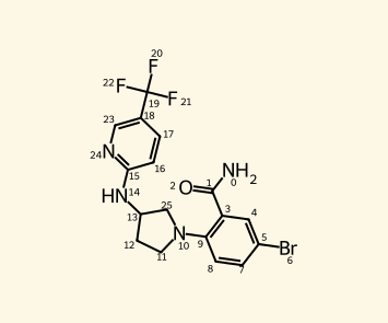 NC(=O)c1cc(Br)ccc1N1CCC(Nc2ccc(C(F)(F)F)cn2)C1